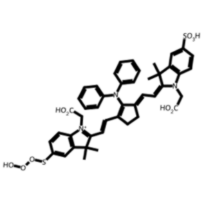 CC1(C)C(/C=C/C2=C(N(c3ccccc3)c3ccccc3)C(=C/C=C3/N(CC(=O)O)c4ccc(S(=O)(=O)O)cc4C3(C)C)/CC2)=[N+](CC(=O)O)c2ccc(SOOO)cc21